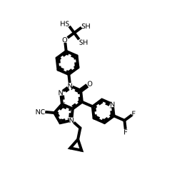 N#Cc1cn(CC2CC2)c2c(-c3ccc(C(F)F)nc3)c(=O)n(-c3ccc(OC(S)(S)S)cc3)nc12